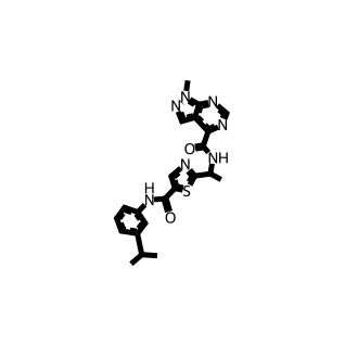 CC(C)c1cccc(NC(=O)c2cnc(C(C)NC(=O)c3ncnc4c3cnn4C)s2)c1